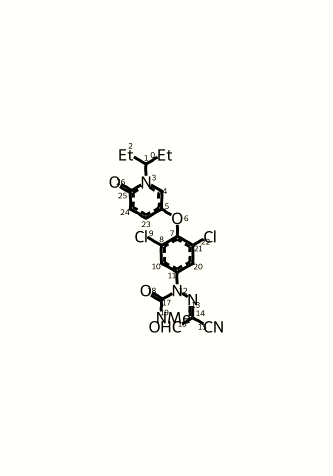 CCC(CC)n1cc(Oc2c(Cl)cc(N(/N=C(/C#N)C=O)C(=O)NC)cc2Cl)ccc1=O